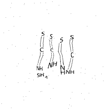 N=C=S.N=C=S.N=C=S.N=C=S.[SiH4]